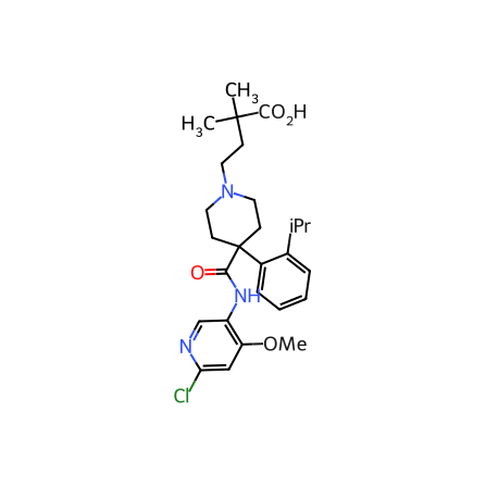 COc1cc(Cl)ncc1NC(=O)C1(c2ccccc2C(C)C)CCN(CCC(C)(C)C(=O)O)CC1